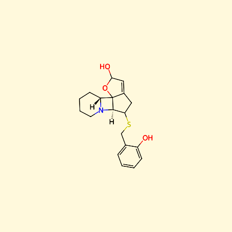 Oc1ccccc1CSC1CC2=CC(O)OC23[C@H]2CCCCN2[C@H]13